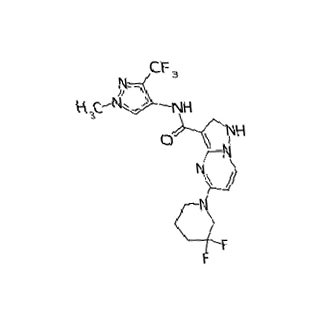 Cn1cc(NC(=O)C2=C3N=C(N4CCCC(F)(F)C4)C=CN3NC2)c(C(F)(F)F)n1